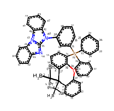 BC(B)(C(C)C)C1(C(B)(B)C(C)C)c2ccccc2Oc2c1cccc2S(c1ccccc1)(c1ccccc1)c1cccc(-n2c3ccccc3n3c4ccccc4nc23)c1